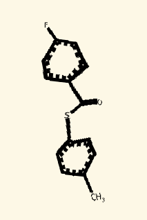 Cc1ccc(SC(=O)c2ccc(F)cc2)cc1